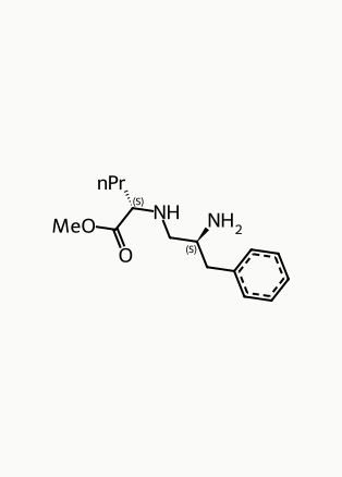 CCC[C@H](NC[C@@H](N)Cc1ccccc1)C(=O)OC